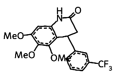 COc1cc2c(c(OC)c1OC)C(c1cccc(C(F)(F)F)c1)CC(=O)N2